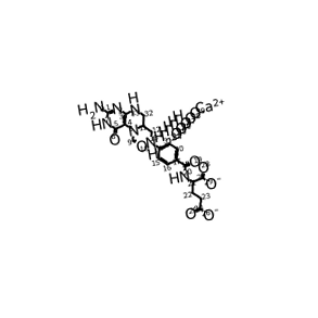 Nc1nc2c(c(=O)[nH]1)N(C=O)C(CNc1ccc(C(=O)NC(CCC(=O)[O-])C(=O)[O-])cc1)CN2.O.O.O.O.O.[Ca+2]